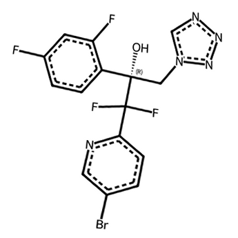 O[C@@](Cn1cnnn1)(c1ccc(F)cc1F)C(F)(F)c1ccc(Br)cn1